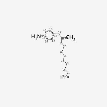 CC(C)CCCCCCCCC(C)Cc1ccc(N)cc1